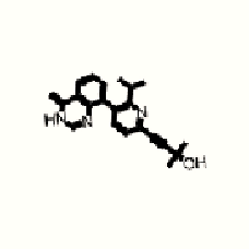 C=C1NC=Nc2c1cccc2-c1ccc(C#CC(C)(C)O)nc1C(C)C